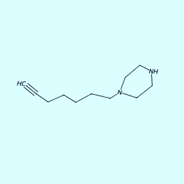 C#CCCCCCN1CCNCC1